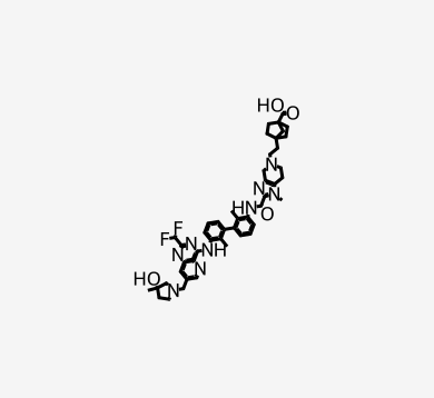 Cc1c(NC(=O)c2nc3c(n2C)CCN(CCC24CCC(C(=O)O)(CC2)C4)C3)cccc1-c1cccc(Nc2nc(C(F)F)nc3cc(CN4CCC(C)(O)C4)cnc23)c1C